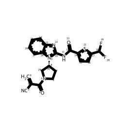 C=C(C#N)C(=O)N1CC[C@@H](n2c(NC(=O)c3ccc(C(F)F)s3)nc3ccccc32)C1